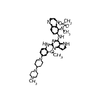 COc1cc(N2CCC(N3CCN(C)CC3)CC2)ccc1Nc1nc(Nc2ccc3nccnc3c2N(C)S(C)(=O)=O)c2[nH]ccc2n1